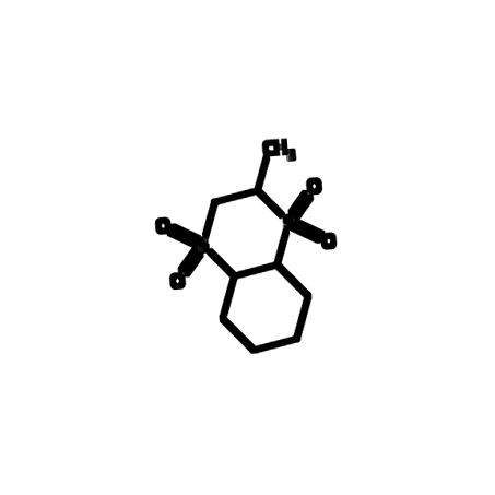 CC1CS(=O)(=O)C2CCCCC2S1(=O)=O